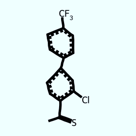 CC(=S)c1ccc(-c2ccc(C(F)(F)F)cc2)cc1Cl